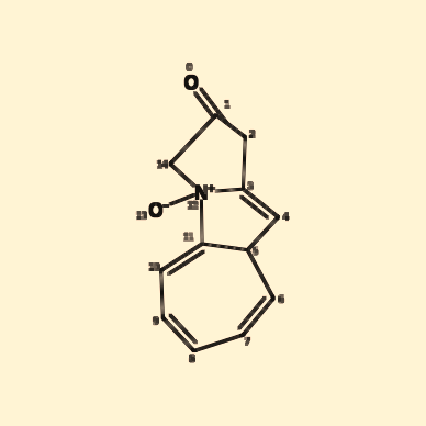 O=C1CC2=CC3C=CC=CC=C3[N+]2([O-])C1